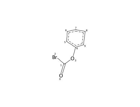 O=C(Br)Oc1ccccc1